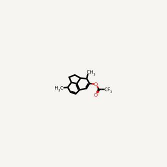 CC1C=CC2=C3C1CCC3C(C)C(OC(=O)C(F)(F)F)=C2